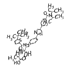 CC(C)N(C(=O)c1ccc(-c2cnc(-c3ccc(C[C@H](NC(=O)c4ccc(C(C)(C)C)s4)C(O)N[C@H](C)C(=O)O)cc3)nc2)cc1)C(C)C